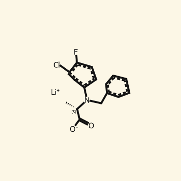 C[C@@H](C(=O)[O-])N(Cc1ccccc1)c1ccc(F)c(Cl)c1.[Li+]